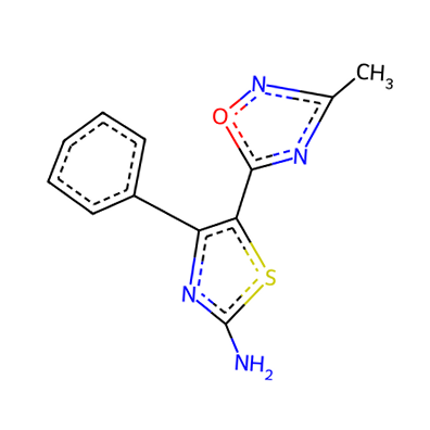 Cc1noc(-c2sc(N)nc2-c2ccccc2)n1